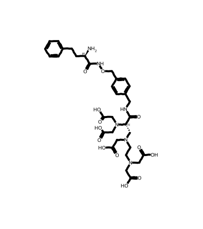 N[C@H](CCc1ccccc1)C(=O)NOCc1ccc(CNC(=O)[C@H](CN(CCN(CC(=O)O)CC(=O)O)CC(=O)O)N(CC(=O)O)CC(=O)O)cc1